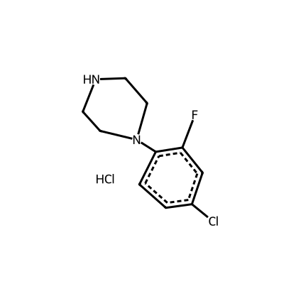 Cl.Fc1cc(Cl)ccc1N1CCNCC1